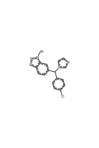 CC(C)n1nnc2ccc(C(c3ccc(Cl)cc3)n3ccnc3)cc21